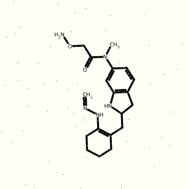 C=NNC1=C(CC2Cc3ccc(N(C)C(=O)CON)cc3N2)CCCC1